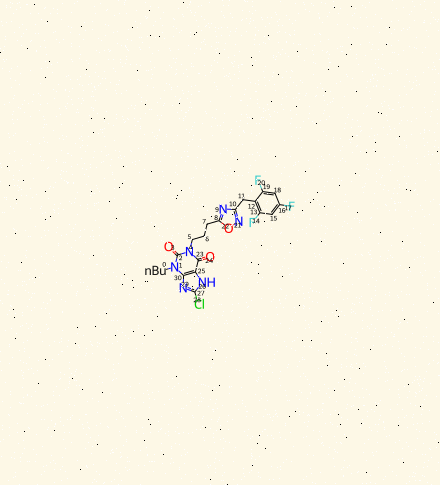 CCCCn1c(=O)n(CCCc2nc(Cc3c(F)cc(F)cc3F)no2)c(=O)c2[nH]c(Cl)nc21